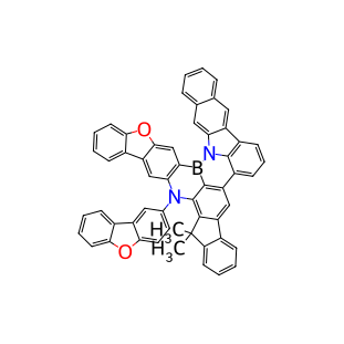 CC1(C)c2ccccc2-c2cc3c4c(c21)N(c1ccc2oc5ccccc5c2c1)c1cc2c(cc1B4n1c4cc5ccccc5cc4c4cccc-3c41)oc1ccccc12